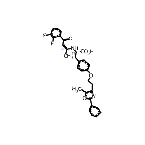 C/C(=C/C(=O)c1cccc(F)c1F)N[C@@H](Cc1ccc(OCCc2nc(-c3ccccc3)oc2C)cc1)C(=O)O